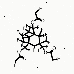 O=C(CF)OC(F)(F)C1(C(F)F)C(F)C2(C(F)(F)OC(=O)CF)C(F)(F)C(F)C(F)(F)C(C(F)(F)OC(=O)CF)(C1(F)F)C2(F)F